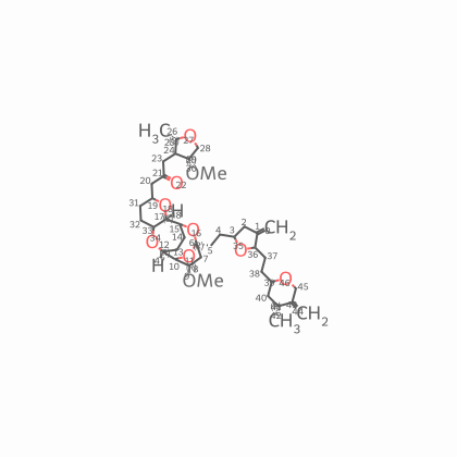 C=C1CC(CC[C@]23C[C@@H](OC)C(O2)[C@H]2CCC(O3)[C@H]3OC(CC(=O)CC4[C@H](C)OC[C@@H]4OC)CCC3O2)OC1CCC1C[C@@H](C)C(=C)CO1